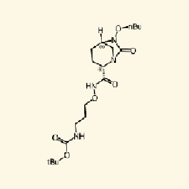 CCCCON1C(=O)N2C[C@@H]1CC[C@H]2C(=O)NOCCCNC(=O)OC(C)(C)C